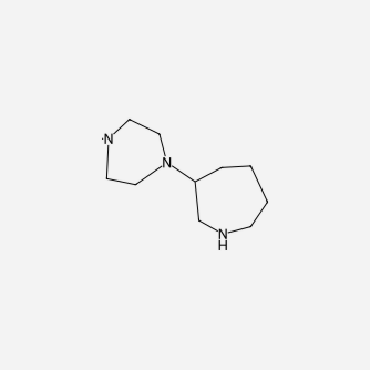 C1CCC(N2CC[N]CC2)CNC1